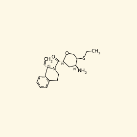 C=C[C@H]1c2ccccc2CCN1C(=O)[C@H]1C[C@H](N)C(SCC)CO1